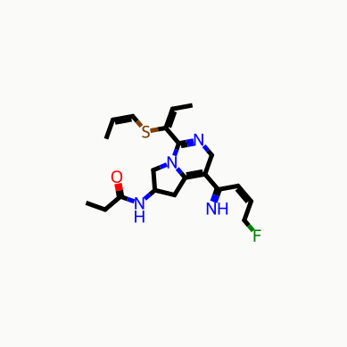 C/C=C\S/C(=C/C)C1=NCC(C(=N)/C=C\CF)=C2CC(NC(=O)CC)CN12